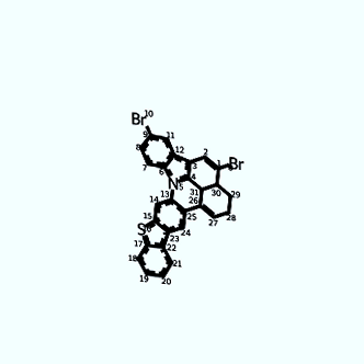 BrC1=Cc2c3n(c4ccc(Br)cc24)-c2cc4sc5ccccc5c4cc2C2=CCCC1C23